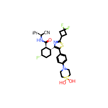 CC(C)[C@@H](C#N)NC(=O)[C@@H]1C[C@@H](F)CC[C@H]1c1nc(C2CC(F)(F)C2)sc1-c1ccc(N2CCS(O)(O)CC2)cc1